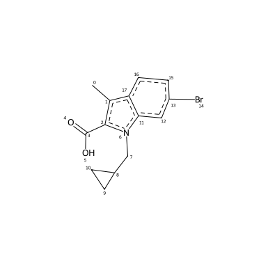 Cc1c(C(=O)O)n(CC2CC2)c2cc(Br)ccc12